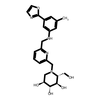 Cc1cc(NCc2cccc(CN3C[C@H](O)[C@@H](O)[C@H](O)[C@H]3CO)n2)cc(-c2ncco2)c1